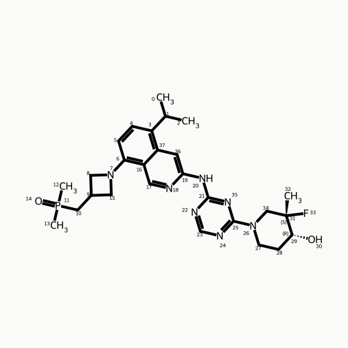 CC(C)c1ccc(N2CC(CP(C)(C)=O)C2)c2cnc(Nc3ncnc(N4CC[C@@H](O)[C@@](C)(F)C4)n3)cc12